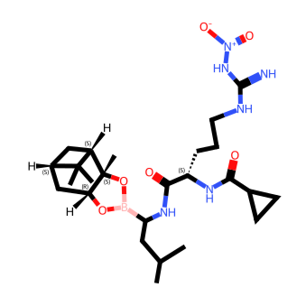 CC(C)CC(NC(=O)[C@H](CCCNC(=N)N[N+](=O)[O-])NC(=O)C1CC1)B1O[C@@H]2C[C@@H]3C[C@@H](C3(C)C)[C@]2(C)O1